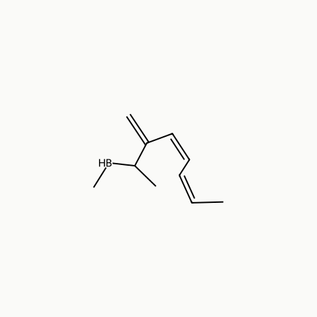 C=C(/C=C\C=C/C)C(C)BC